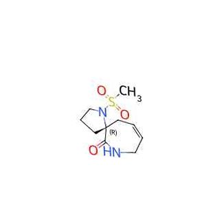 CS(=O)(=O)N1CCC[C@]12CC=CCNC2=O